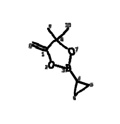 C=C1OB(C2CC2)OC1(C)C